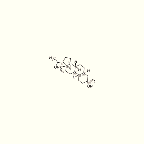 CC[C@@]1(O)CC[C@H]2[C@@H](CC[C@@H]3[C@@H]2CC[C@]2(C)[C@@H](C(C)O)CC[C@@H]32)C1